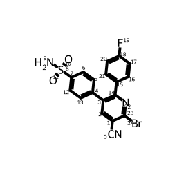 N#Cc1cc(-c2ccc(S(N)(=O)=O)cc2)c(-c2ccc(F)cc2)nc1Br